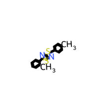 Cc1ccc(-c2nc3sc(-c4ccccc4C)nc3s2)cc1